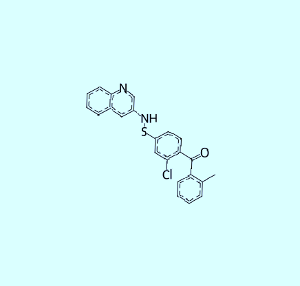 Cc1ccccc1C(=O)c1ccc(SNc2cnc3ccccc3c2)cc1Cl